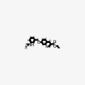 CCOC(=O)c1cnc2cc(OCc3cccc(NOC)c3)ccc2c1